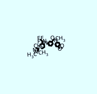 Cc1nn(C)c(C)c1N1CCc2c(c(C(F)(F)F)nn2-c2cccc(C(=O)N(C)c3ccc4c(c3)OCO4)c2)C1